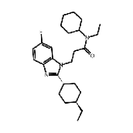 CCN(C(=O)CCn1c2cc(F)ccc2nc1[C@H]1CC[C@H](CC)CC1)C1CCCCC1